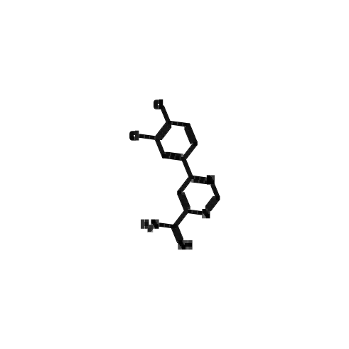 N=C(N)c1cc(-c2ccc(Cl)c(Cl)c2)ncn1